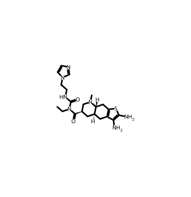 CCN(C(=O)NCCn1ccnc1)C(=O)[C@@H]1C[C@@H]2Cc3c(sc(N)c3N)C[C@H]2N(C)C1